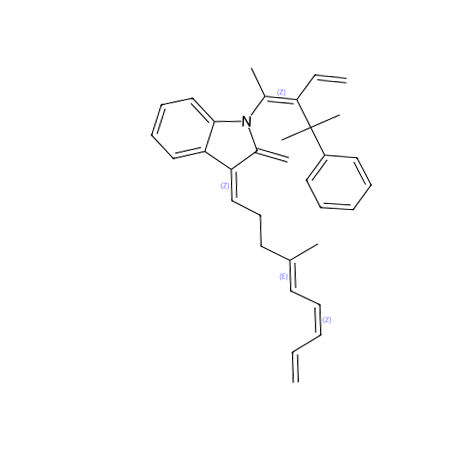 C=C/C=C\C=C(/C)CC/C=c1\c(=C)n(/C(C)=C(/C=C)C(C)(C)c2ccccc2)c2ccccc12